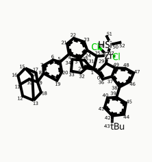 CC1=Cc2c(-c3ccc(C45CC6CC(CC(C6)C4)C5)cc3)cccc2[CH]1[Zr]([Cl])([Cl])([CH]1C(C2CCCC2)=Cc2c(-c3ccc(C(C)(C)C)cc3)cccc21)[SiH](C)C